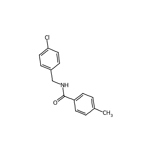 Cc1ccc(C(=O)NCc2ccc(Cl)cc2)cc1